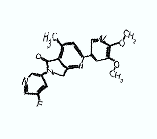 COc1cc(-c2cc(C)c3c(n2)CN(c2cncc(F)c2)C3=O)cnc1OC